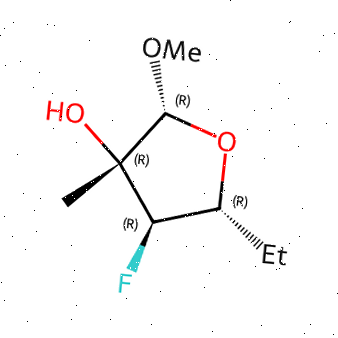 CC[C@H]1O[C@@H](OC)[C@@](C)(O)[C@@H]1F